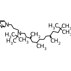 C=C(CCCC(C)CC(=C)CCN(CCCn1ccnc1)C(C)(C)C)CCC(C)(C)C